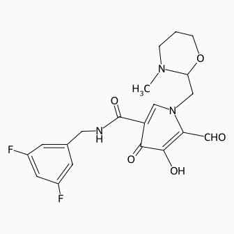 CN1CCCOC1Cn1cc(C(=O)NCc2cc(F)cc(F)c2)c(=O)c(O)c1C=O